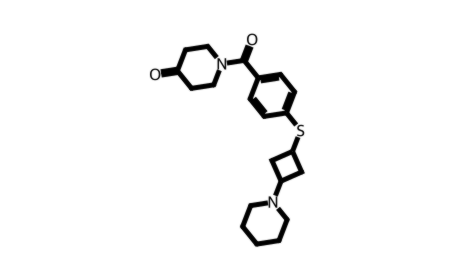 O=C1CCN(C(=O)c2ccc(SC3CC(N4CCCCC4)C3)cc2)CC1